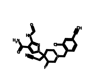 C#Cc1ccc(CN2CCC(CC#N)(n3cc(C(N)=O)c(NC=O)n3)C(F)C2)c(Cl)c1